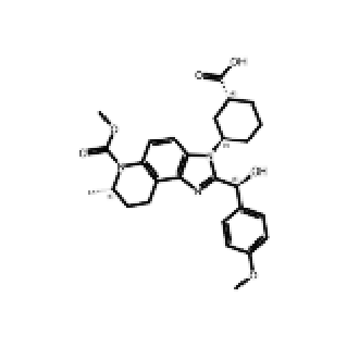 COC(=O)N1c2ccc3c(nc([C@@H](O)c4ccc(OC)cc4)n3[C@@H]3CCC[C@@H](C(=O)O)C3)c2CC[C@@H]1C